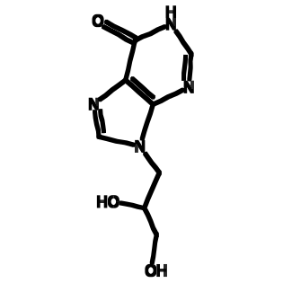 O=c1[nH]cnc2c1ncn2CC(O)CO